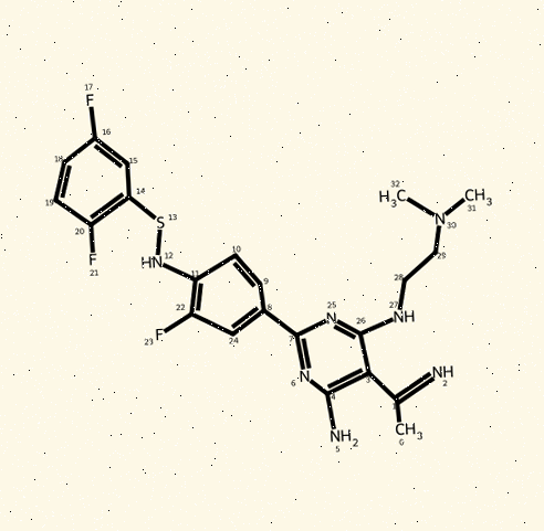 CC(=N)c1c(N)nc(-c2ccc(NSc3cc(F)ccc3F)c(F)c2)nc1NCCN(C)C